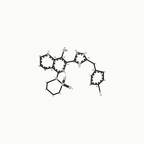 O=S1(=O)CCCCN1c1nc(-c2nnc(Cc3ccc(F)cc3)o2)c(O)c2ncccc12